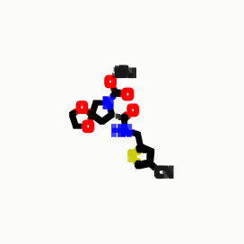 CC(C)(C)OC(=O)N1CC2(C[C@H]1C(=O)NCc1cc(C#N)cs1)OCCO2